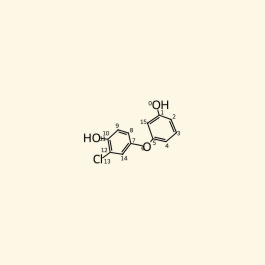 Oc1cccc(Oc2ccc(O)c(Cl)c2)c1